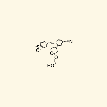 CC1=C(CC(=O)OCCO)c2cc(C#N)ccc2C1=Cc1ccc([S+](C)[O-])cc1